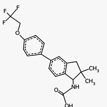 CC1(C)Cc2cc(-c3ccc(OCC(F)(F)F)cc3)ccc2C1NC(=O)O